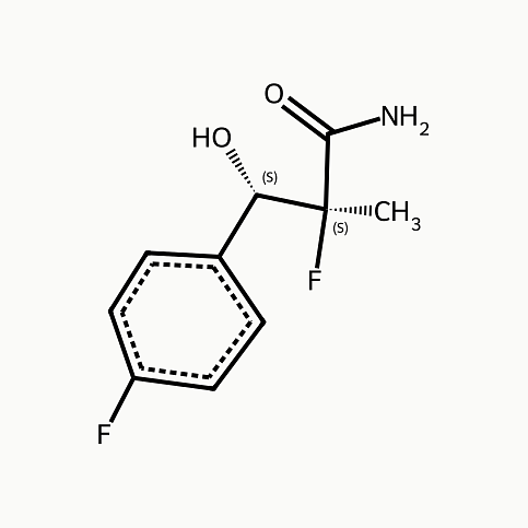 C[C@@](F)(C(N)=O)[C@@H](O)c1ccc(F)cc1